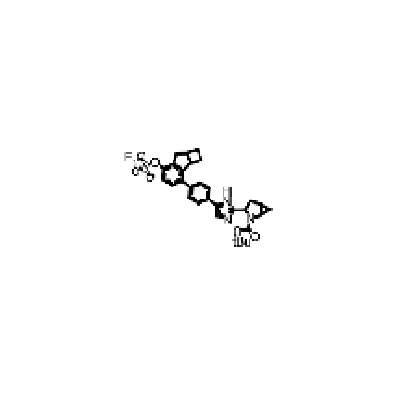 CC(C)(C)OC(=O)N1C(c2ncc(-c3ccc(-c4ccc(OS(=O)(=O)C(F)(F)F)c5c4C4CCC4C5)cc3)[nH]2)CC2CC21